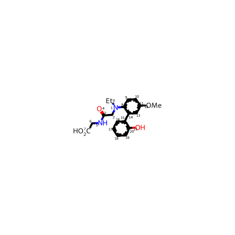 CCN(CC(=O)NCC(=O)O)c1ccc(OC)cc1-c1ccccc1O